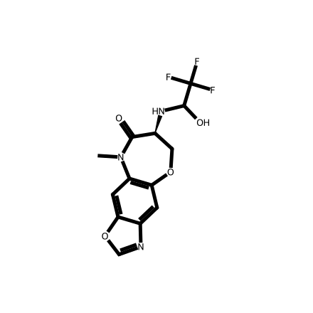 CN1C(=O)[C@@H](NC(O)C(F)(F)F)COc2cc3ncoc3cc21